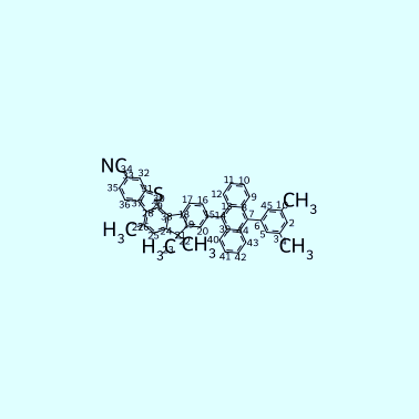 Cc1cc(C)cc(-c2c3ccccc3c(-c3ccc4c(c3)C(C)(C)c3cc(C)c5c(sc6cc(C#N)ccc65)c3-4)c3ccccc23)c1